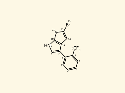 FC(F)(F)c1ccccc1-c1c[nH]c2sc(Br)cc12